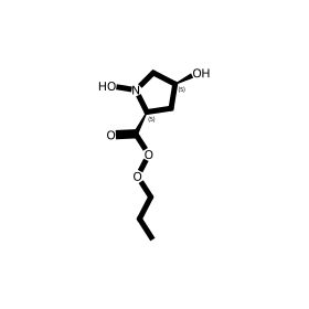 CCCOOC(=O)[C@@H]1C[C@H](O)CN1O